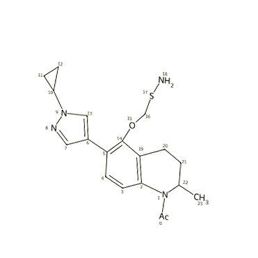 CC(=O)N1c2ccc(-c3cnn(C4CC4)c3)c(OCSN)c2CCC1C